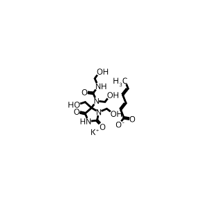 C/C=C/C=C/C(=O)[O-].O=C(NCO)N(CO)C1(CO)C(=O)NC(=O)N1CO.[K+]